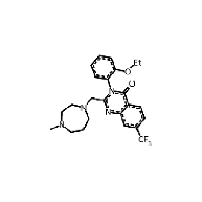 CCOc1ccccc1-n1c(CN2CCCN(C)CC2)nc2cc(C(F)(F)F)ccc2c1=O